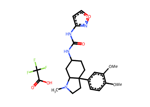 COc1ccc(C23CCC(NC(=O)Nc4ccon4)CC2N(C)CC3)cc1OC.O=C(O)C(F)(F)F